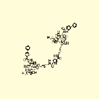 CC(=O)N[C@H]1[C@H]([C@H](O)[C@H](O)CNC(=O)c2ccc(-c3ccccc3)cc2)O[C@@](OCCCSCCNC(=O)c2ccc(C(=O)NCCSCCCO[C@]3(C(=O)O)C[C@H](O)[C@@H](NC(C)=O)[C@H]([C@H](O)[C@H](O)CNC(=O)c4ccc(-c5ccccc5)cc4)O3)nc2)(C(=O)O)C[C@@H]1O